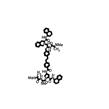 CN[C@@H](C)C(=O)N[C@@H](Cc1ccc(CCc2ccc(C(=O)N[C@H]3C[C@@H](C(=O)N[C@@H]4CCCc5ccccc54)N(C(=O)[C@@H](NC(=O)[C@H](C)NC)C(C)(C)C)C3)cc2)cc1)C(=O)N1Cc2ccccc2C[C@H]1C(=O)N[C@@H]1CCCc2ccccc21